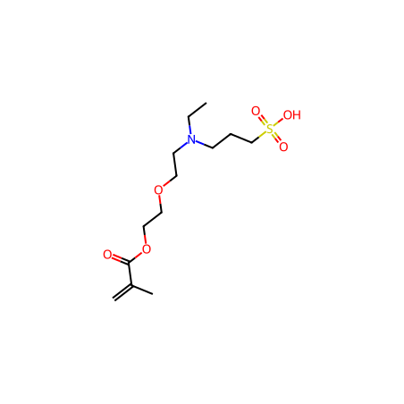 C=C(C)C(=O)OCCOCCN(CC)CCCS(=O)(=O)O